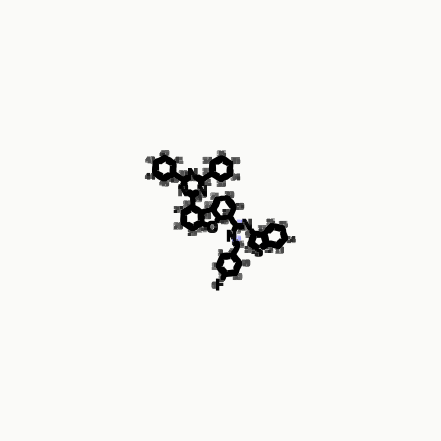 Fc1ccc(/C=N/C(=N\c2csc3ccccc23)C2C=CC=C3c4c(cccc4-c4nc(-c5ccccc5)nc(-c5ccccc5)n4)OC32)cc1